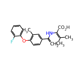 C=C(NC(C(=O)O)=C(C)C)c1ccc(Oc2ccccc2F)c(C)c1